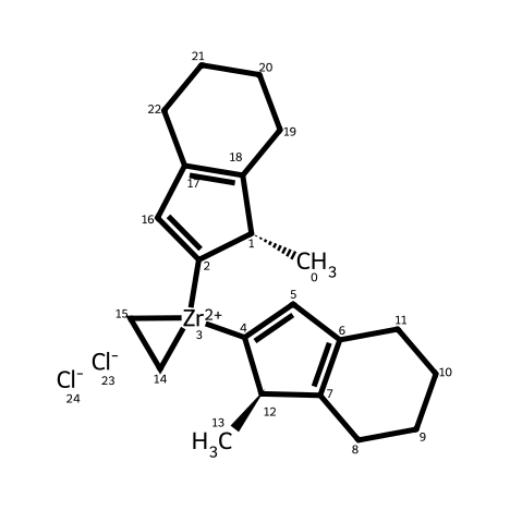 C[C@@H]1[C]([Zr+2]2([C]3=CC4=C(CCCC4)[C@H]3C)[CH2][CH2]2)=CC2=C1CCCC2.[Cl-].[Cl-]